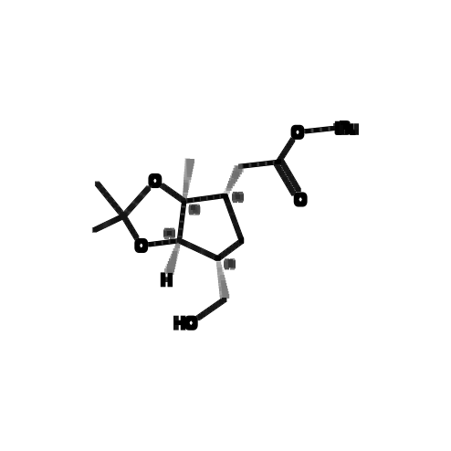 CC(C)(C)OC(=O)C[C@@H]1C[C@H](CO)[C@H]2OC(C)(C)O[C@@]12C